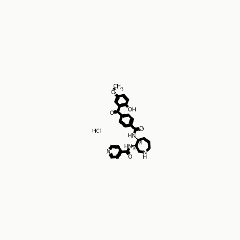 COc1ccc(O)c(C(=O)c2ccc(C(=O)N[C@@H]3CCCNC[C@H]3NC(=O)c3ccncc3)cc2)c1.Cl